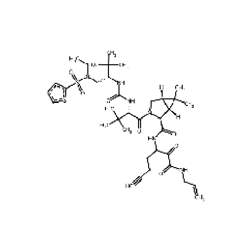 C#CCCC(NC(=O)[C@@H]1[C@@H]2[C@H](CN1C(=O)[C@@H](NC(=O)N[C@H](CN(CC)S(=O)(=O)c1cccs1)C(C)(C)C)C(C)(C)C)C2(C)C)C(=O)C(=O)NCC=C